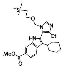 CCc1ncn(COCC[Si](C)(C)C)c1-c1[nH]c2cc(C(=O)OC)ccc2c1C1CCCCC1